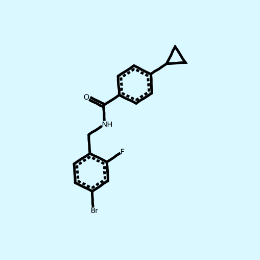 O=C(NCc1ccc(Br)cc1F)c1ccc(C2CC2)cc1